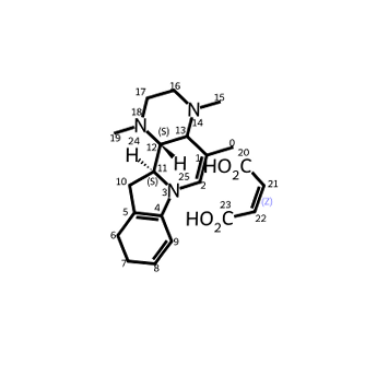 CC1=CN2C3=C(CCC=C3)C[C@H]2[C@H]2C1N(C)CCN2C.O=C(O)/C=C\C(=O)O